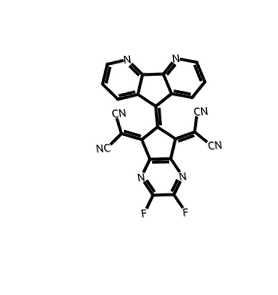 N#CC(C#N)=C1C(=C2c3cccnc3-c3ncccc32)C(=C(C#N)C#N)c2nc(F)c(F)nc21